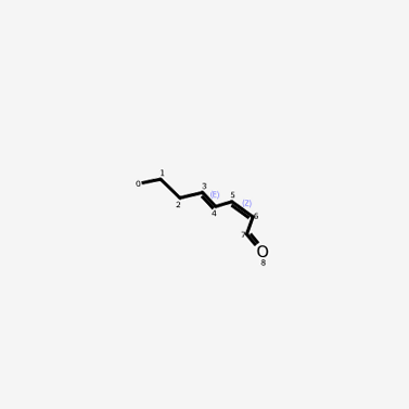 CCC/C=C/C=C\C=O